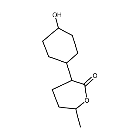 CC1CCC(C2CCC(O)CC2)C(=O)O1